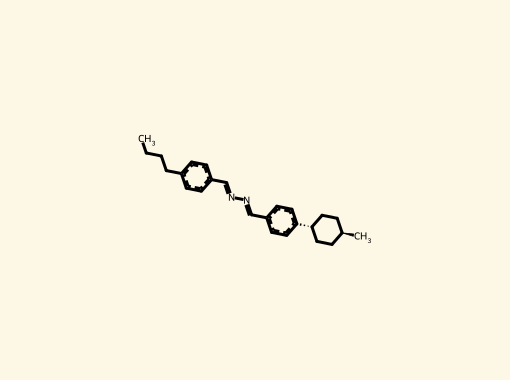 CCCCc1ccc(C=NN=Cc2ccc([C@H]3CC[C@H](C)CC3)cc2)cc1